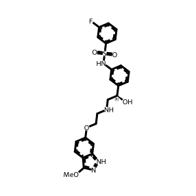 COc1n[nH]c2cc(OCCNC[C@H](O)c3cccc(NS(=O)(=O)c4cccc(F)c4)c3)ccc12